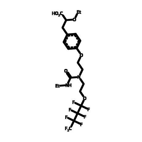 CCNC(=O)N(CCOc1ccc(CC(OCC)C(=O)O)cc1)CCOC(F)(F)C(F)(F)C(F)(F)C(F)(F)F